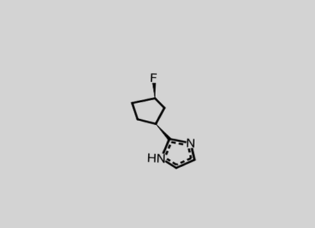 F[C@@H]1CC[C@H](c2ncc[nH]2)C1